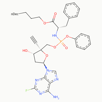 C#C[C@]1(COP(=O)(N[C@@H](Cc2ccccc2)C(=O)OCCCCCCCCCCCCC)Oc2ccccc2)O[C@@H](n2cnc3c(N)nc(F)nc32)C[C@@H]1O